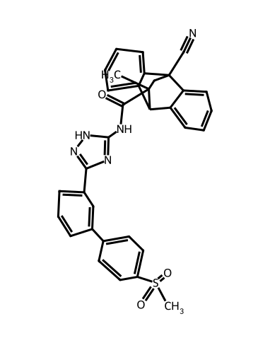 CC1(C(=O)Nc2nc(-c3cccc(-c4ccc(S(C)(=O)=O)cc4)c3)n[nH]2)CC2(C#N)c3ccccc3C1c1ccccc12